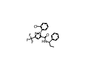 CCC(NC(=O)c1cc(C(F)(F)F)nn1-c1ccccc1Cl)c1ccccc1